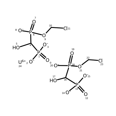 O=P([O-])([O-])C(O)P(=O)([O-])OCCl.O=P([O-])([O-])C(O)P(=O)([O-])OCCl.[U+6]